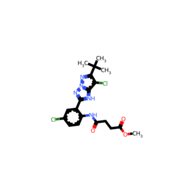 COC(=O)CCC(=O)Nc1ccc(Cl)cc1-c1nn2nc(C(C)(C)C)c(Cl)c2[nH]1